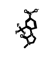 CN1CCN(c2ccc([N+](=O)[O-])cc2C(F)(F)F)C1=O